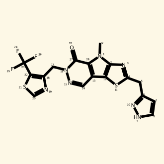 Cn1c2nc(Cc3cc[nH]n3)sc2c2cnn(Cc3ncsc3C(F)(F)F)c(=O)c21